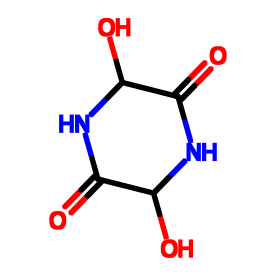 O=C1NC(O)C(=O)NC1O